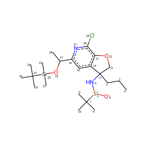 CCCC1(N[S+]([O-])C(C)(C)C)COc2c1cc(C(C)O[Si](C)(C)C(C)(C)C)nc2Cl